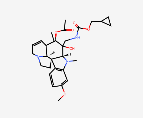 CC[C@]12C=CCN3CC[C@@]4(c5ccc(OC)cc5N(C)[C@H]4C(O)(CNC(=O)OCC4CC4)[C@@H]1OC(C)=O)[C@@H]32